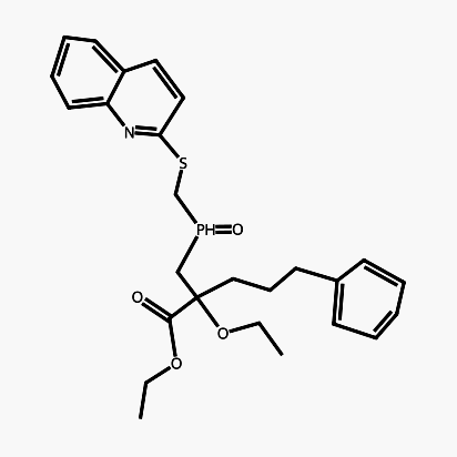 CCOC(=O)C(CCCc1ccccc1)(C[PH](=O)CSc1ccc2ccccc2n1)OCC